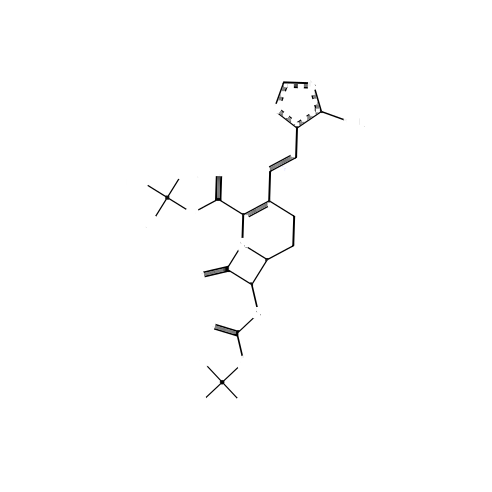 Cc1ncsc1/C=C/C1=C(C(=O)OC(C)(C)C)N2C(=O)C(NC(=O)OC(C)(C)C)C2CC1